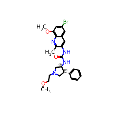 COCCN1C[C@@H](NC(=O)Nc2cc3cc(Br)cc(OC)c3nc2C)[C@H](c2ccccc2)C1